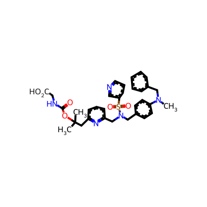 CN(Cc1ccccc1)c1ccc(CN(Cc2cccc(CC(C)(C)OC(=O)NCC(=O)O)n2)S(=O)(=O)c2cccnc2)cc1